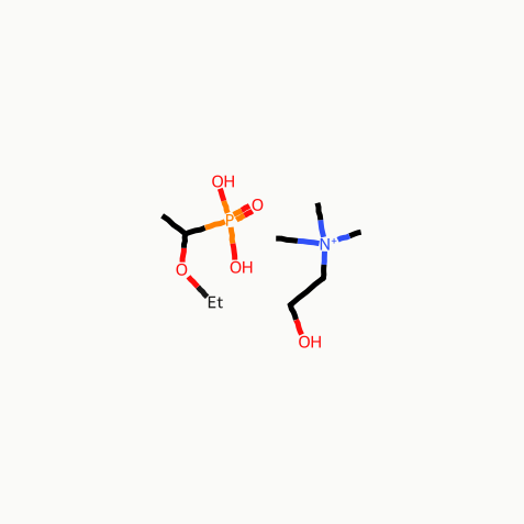 CCOC(C)P(=O)(O)O.C[N+](C)(C)CCO